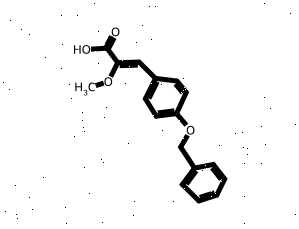 CO/C(=C\c1ccc(OCc2ccccc2)cc1)C(=O)O